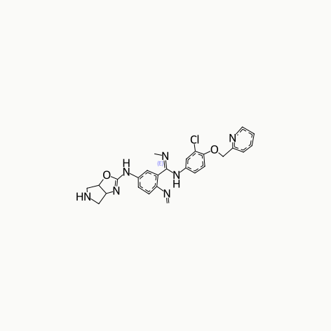 C=Nc1ccc(NC2=NC3CNCC3O2)cc1/C(=N\C)Nc1ccc(OCc2ccccn2)c(Cl)c1